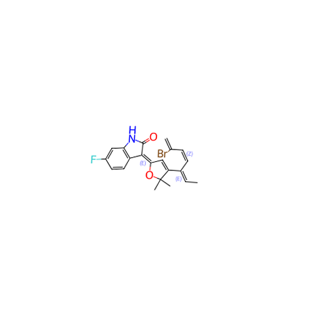 C=C(Br)/C=C\C(=C/C)C1=C/C(=C2\C(=O)Nc3cc(F)ccc32)OC1(C)C